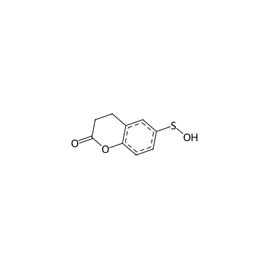 O=C1CCc2cc(SO)ccc2O1